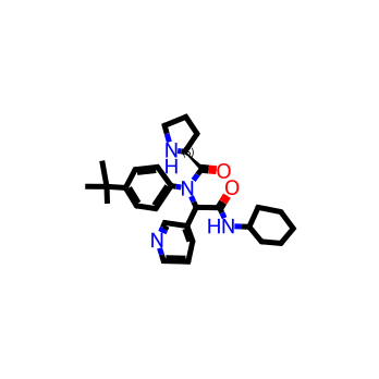 CC(C)(C)c1ccc(N(C(=O)[C@@H]2CCCN2)C(C(=O)NC2CCCCC2)c2cccnc2)cc1